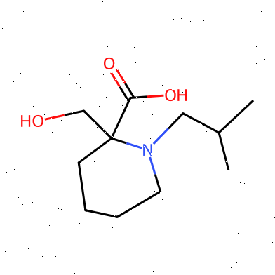 CC(C)CN1CCCCC1(CO)C(=O)O